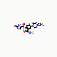 CN1CCN(c2ccc(NC(=O)c3csc(Br)n3)c(C(N)=O)c2)CC1